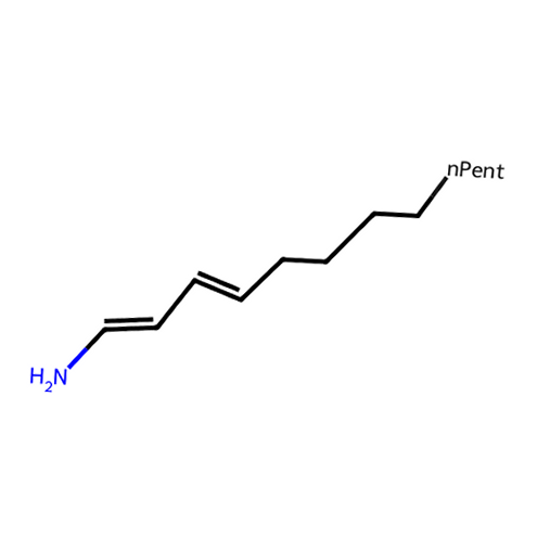 CCCCCCCCCC=CC=CN